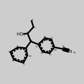 CCC(O)C(c1ccccc1)c1ccc(C#N)cc1